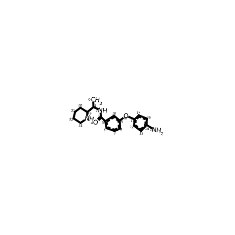 CC(NC(=O)c1cccc(Oc2ccc(N)cc2)c1)C1CCCCN1